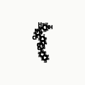 O=C(CN1Cc2ccc(-c3nc(NC4CCNCC4)ncc3Cl)cc2C1=O)N1CCc2ccccc2C1